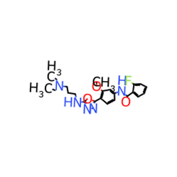 CCN(CC)CCCNc1nnc(-c2ccc(NC(=O)c3ccccc3F)cc2OC)o1